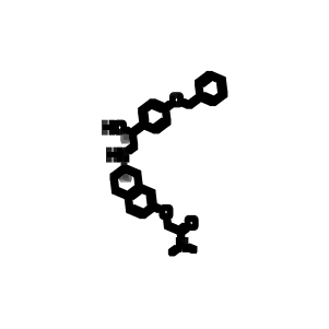 CN(C)C(=O)COc1ccc2c(c1)C[C@@H](NC[C@@H](O)c1ccc(OCc3ccccc3)cc1)CC2